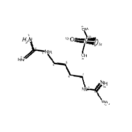 N=C(N)NCCCCNC(=N)N.O=S(=O)(O)O